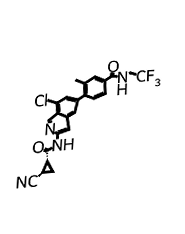 Cc1cc(C(=O)NCC(F)(F)F)ccc1-c1cc(Cl)c2cnc(NC(=O)[C@@H]3C[C@H]3C#N)cc2c1